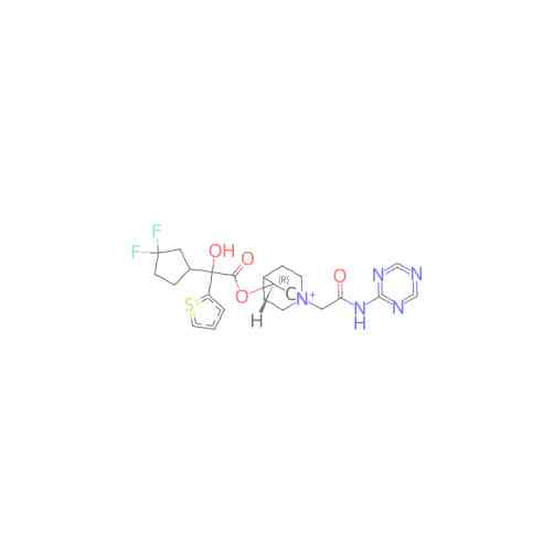 O=C(C[N+]12CCC(CC1)[C@@H](OC(=O)C(O)(c1cccs1)C1CCC(F)(F)C1)C2)Nc1ncncn1